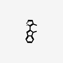 C[C]1C(c2sccc2C)=Cc2ccccc21